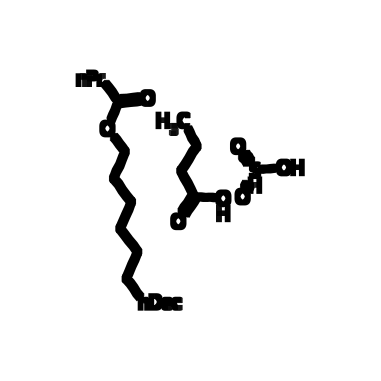 CCCC(=O)O.CCCCCCCCCCCCCCCCOC(=O)CCC.O=[SH](=O)O